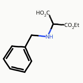 CCOC(=O)C(NCc1ccccc1)C(=O)O